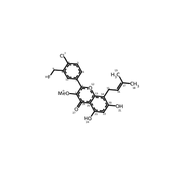 COc1c(-c2ccc(Cl)c(CF)c2)oc2c(CC=C(C)C)c(O)cc(O)c2c1=O